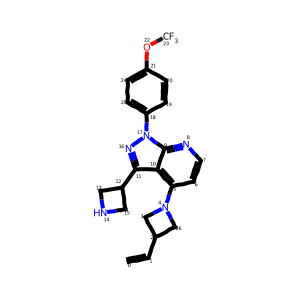 C=CC1CN(c2ccnc3c2c(C2CNC2)nn3-c2ccc(OC(F)(F)F)cc2)C1